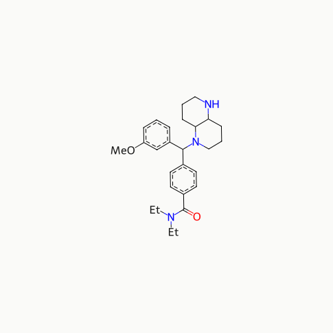 CCN(CC)C(=O)c1ccc(C(c2cccc(OC)c2)N2CCCC3NCCCC32)cc1